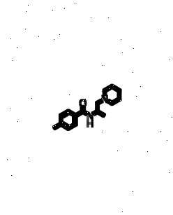 Cc1ccc(C(=O)NC(C)CN2CCCCC2)cc1